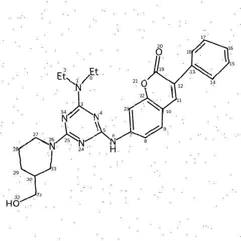 CCN(CC)c1nc(Nc2ccc3cc(-c4ccccc4)c(=O)oc3c2)nc(N2CCCC(CO)C2)n1